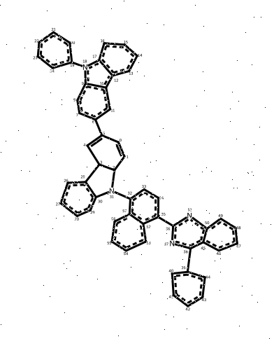 C1=CC2C(C=C1c1ccc3c(c1)c1ccccc1n3-c1ccccc1)c1ccccc1N2c1ccc(-c2nc(-c3ccccc3)c3ccccc3n2)c2ccccc12